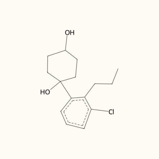 CCCc1c(Cl)cccc1C1(O)CCC(O)CC1